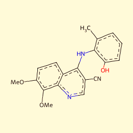 COc1ccc2c(Nc3c(C)cccc3O)c(C#N)cnc2c1OC